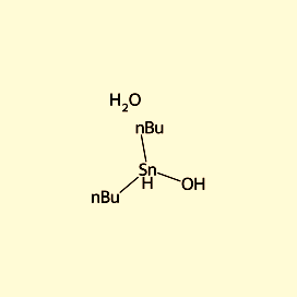 CCC[CH2][SnH]([OH])[CH2]CCC.O